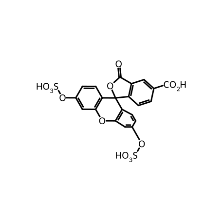 O=C(O)c1ccc2c(c1)C(=O)OC21c2ccc(OS(=O)(=O)O)cc2Oc2cc(OS(=O)(=O)O)ccc21